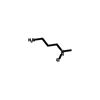 C[SiH](Cl)CCCN